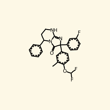 Cc1cc(C2(c3cccc(F)c3)N=C3NCCC(c4ccccc4)N3C2=O)ccc1OC(F)F